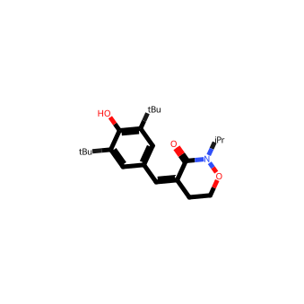 CC(C)N1OCC/C(=C/c2cc(C(C)(C)C)c(O)c(C(C)(C)C)c2)C1=O